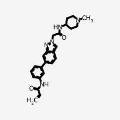 C=CC(=O)Nc1cccc(-c2ccc3cn(CC(=O)NC4CCN(C)CC4)nc3c2)c1